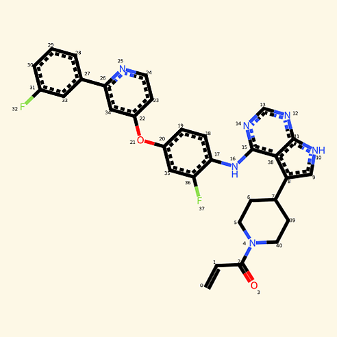 C=CC(=O)N1CCC(c2c[nH]c3ncnc(Nc4ccc(Oc5ccnc(-c6cccc(F)c6)c5)cc4F)c23)CC1